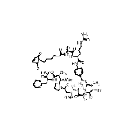 CC[C@H](C)[C@@H](C(CC(=O)N1CCC[C@H]1[C@H](OC)[C@@H](C)C(=O)N[C@@H](Cc1ccccc1)C(=O)OC)OC)N(C)C(=O)[C@@H](NC(=O)[C@H](C(C)C)N(C)C(=O)OCc1ccc(NC(=O)[C@H](CCCNC(N)=O)NC(=O)C(NC(=O)CCCCCN2C(=O)C=CC2=O)C(C)C)cc1)C(C)C